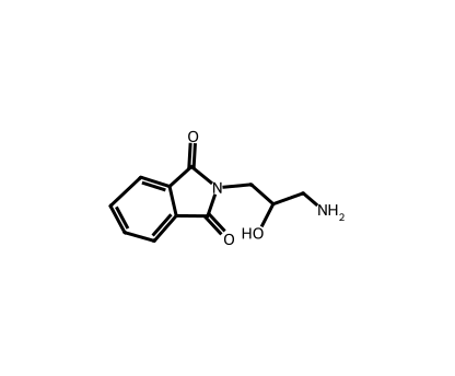 NCC(O)CN1C(=O)c2ccccc2C1=O